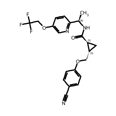 C[C@@H](NC(=O)[C@H]1C[C@@H]1COc1ccc(C#N)cc1)c1ccc(OCC(F)(F)F)cn1